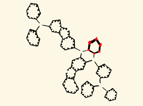 c1ccc(N(c2ccccc2)c2cccc(N(c3ccccc3)c3cc4c(cc3N(c3ccccc3)c3ccc5c(c3)sc3ccc(N(c6ccccc6)c6ccccc6)cc35)sc3ccccc34)c2)cc1